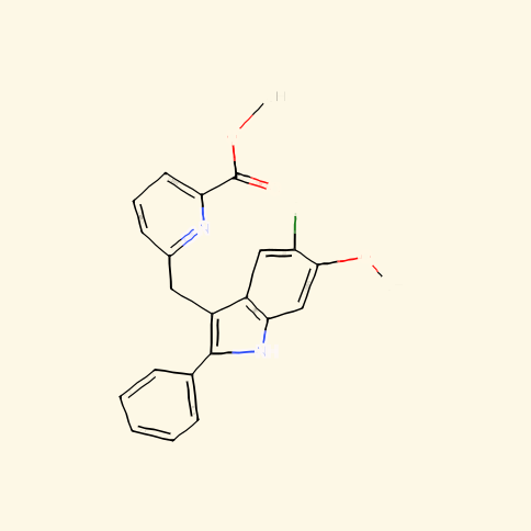 COC(=O)c1cccc(Cc2c(-c3ccccc3)[nH]c3cc(OC)c(Cl)cc23)n1